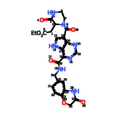 CCOC(=O)CC1C(=O)NCCN1C(=O)c1c[nH]c2c(C(=O)NCc3ccc4c(c3)NC(=O)CO4)ncnc12